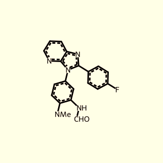 CNc1ccc(-n2c(-c3ccc(F)cc3)nc3cccnc32)cc1NC=O